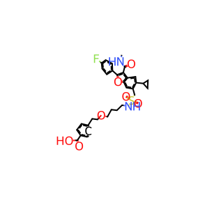 CNC(=O)c1c(-c2ccc(F)cc2)oc2cc(CS(=O)(=O)NCCCCOCCc3ccc(C(=O)O)cc3)c(C3CC3)cc12